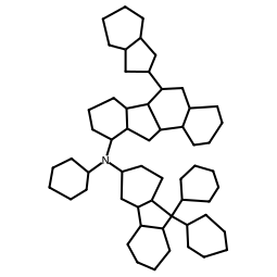 C1CCC(N(C2CCC3C(C2)C2CCCCC2C3(C2CCCCC2)C2CCCCC2)C2CCCC3C2CC2C4CCCCC4CC(C4CC5CCCCC5C4)C23)CC1